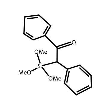 CO[Si](OC)(OC)C(C(=O)c1ccccc1)c1ccccc1